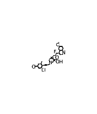 COc1ccc2nccc(C(F)CC[C@@H]3CCN(CC#Cc4c(C)cc(Cl)cc4Cl)C[C@@H]3C(=O)O)c2c1